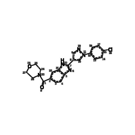 O=C(c1ccc2nc(-c3cnn(-c4ccc(Cl)cc4)c3)[nH]c2c1)N1CCOCC1